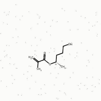 C=C(C)C(=O)O[C@@H](C)CCCO